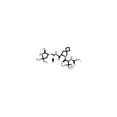 CC(=O)N[C@H](C(=O)N1CC2(CCC2)CC1C(=O)N[C@H](C#N)C[C@@H]1CC(C)(C)NC1=O)C(C)(C)C